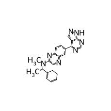 C[C@H](C1=CC=CCC1)N(C)c1cnc2cc(-c3ncnc4[nH]ncc34)ccc2n1